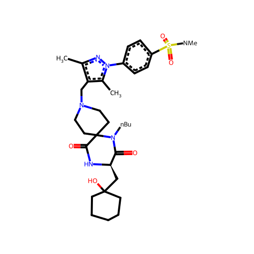 CCCCN1C(=O)[C@@H](CC2(O)CCCCC2)NC(=O)C12CCN(Cc1c(C)nn(-c3ccc(S(=O)(=O)NC)cc3)c1C)CC2